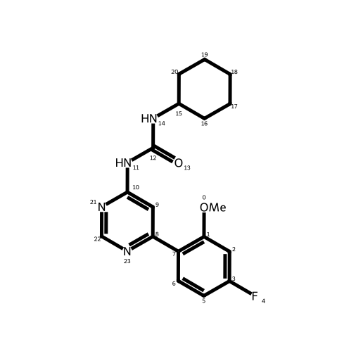 COc1cc(F)ccc1-c1cc(NC(=O)NC2CCCCC2)ncn1